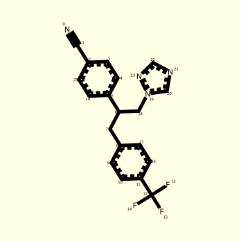 N#Cc1ccc(C(Cc2ccc(C(F)(F)F)cc2)Cn2cncn2)cc1